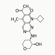 CC(=O)c1c(C)c2cnc(N[C@@H]3CCOC[C@@H]3O)nc2n(C2CCC2)c1=O